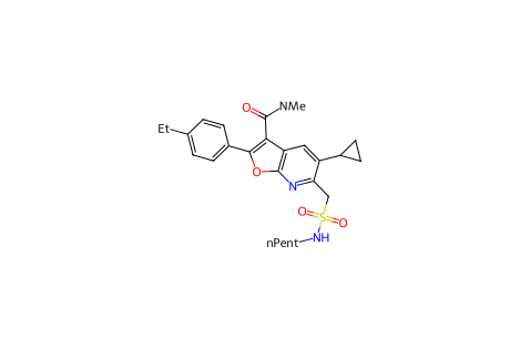 CCCCCNS(=O)(=O)Cc1nc2oc(-c3ccc(CC)cc3)c(C(=O)NC)c2cc1C1CC1